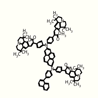 CC1(C)CCN2CCC(C)(C)c3c2c1cc1cc(-c2ccc(N(c4ccc(-c5cc6cc7c8c(c6oc5=O)C(C)(C)CCN8CCC7(C)C)cc4)c4cc5ccc6cc(N(c7ccc(-c8cc9cc%10c%11c(c9oc8=O)C(C)(C)CCN%11CCC%10(C)C)cc7)c7ccc(-c8cccc9ccccc89)cc7)cc7ccc(c4)c5c67)cc2)c(=O)oc31